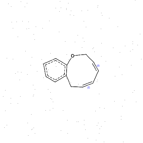 C1=C\COc2ccccc2C\C=C/1